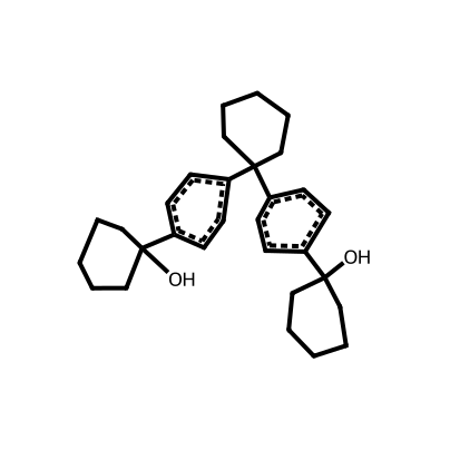 OC1(c2ccc(C3(c4ccc(C5(O)CCCCC5)cc4)CCCCC3)cc2)CCCCC1